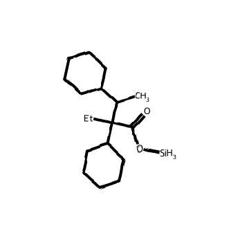 CCC(C(=O)O[SiH3])(C1CCCCC1)C(C)C1CCCCC1